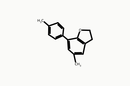 Cc1ccc(-c2cc(C)cc3c2O[CH]C3)cc1